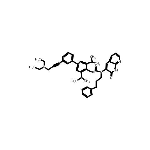 CCN(CC)CC#Cc1cccc(-c2cc(C(C)C)c(NC(=O)N(CCCc3ccccc3)c3cc4cccnc4[nH]c3=O)c(C(C)C)c2)c1